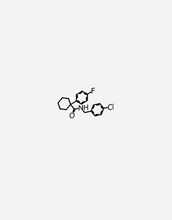 O=C(NCc1ccc(Cl)cc1)C1(c2ccc(F)cc2)CCCCC1